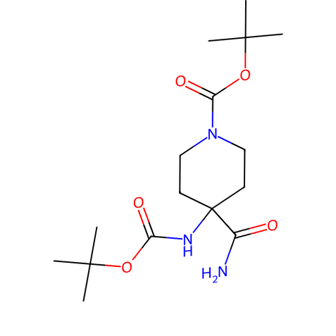 CC(C)(C)OC(=O)NC1(C(N)=O)CCN(C(=O)OC(C)(C)C)CC1